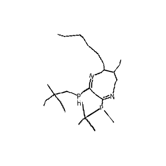 CCCCC1N=C(PCC(C)(C)C)C(P(C)C(C)(C)C)=NCC1C